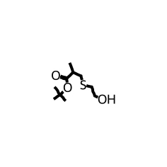 CC(CSCCO)C(=O)OC(C)(C)C